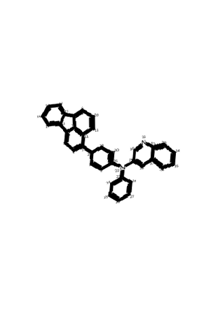 C1=CC(c2ccc3c4c(cccc24)-c2ccccc2-3)CC=C1N(c1ccccc1)c1cnc2ccccc2c1